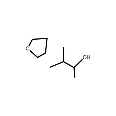 C1CCOC1.CC(C)C(C)O